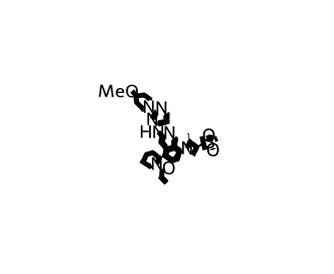 C=CC(=O)N1CCCC[C@@H]1c1ccc(N2C[C@H](C(C)(C)S(C)(=O)=O)[C@H]2C)c2cnc(Nc3ccnc(N4CCC(OC)CC4)n3)cc12